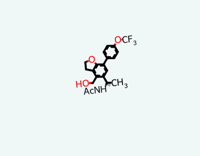 CC(=O)N[C@H](C)c1cc(-c2ccc(OC(F)(F)F)cc2)c2c(c1CO)CCO2